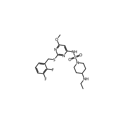 CCNC1CCN(S(=O)(=O)Nc2cc(OC)nc(SCc3cccc(F)c3F)n2)CC1